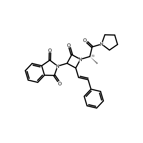 C[C@@H](C(=O)N1CCCC1)N1C(=O)C(N2C(=O)c3ccccc3C2=O)C1C=Cc1ccccc1